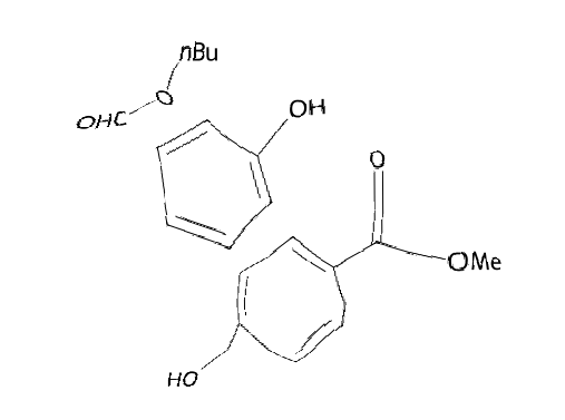 CCCCOC=O.COC(=O)c1ccc(O)cc1.Oc1ccccc1